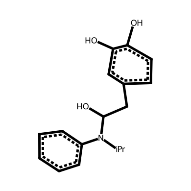 CC(C)N(c1ccccc1)C(O)Cc1ccc(O)c(O)c1